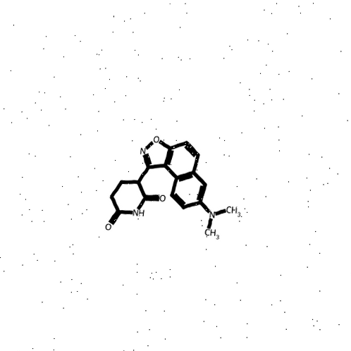 CN(C)c1ccc2c(ccc3onc(C4CCC(=O)NC4=O)c32)c1